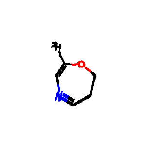 [2H]C1=CN=CCCO1